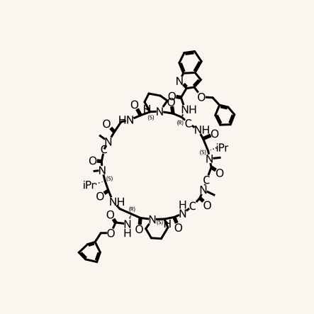 CC(C)[C@H]1C(=O)NC[C@@H](NC(=O)c2nc3ccccc3cc2OCc2ccccc2)C(=O)N2CCCC[C@H]2C(=O)NCC(=O)N(C)CC(=O)N(C)[C@@H](C(C)C)C(=O)NC[C@@H](NC(=O)OCc2ccccc2)C(=O)N2CCCC[C@H]2C(=O)NCC(=O)N(C)CC(=O)N1C